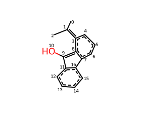 CC(C)=c1cccc2c1=C(O)c1ccccc1-2